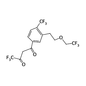 O=C(CC(=O)C(F)(F)F)c1ccc(C(F)(F)F)c(CCOCC(F)(F)F)c1